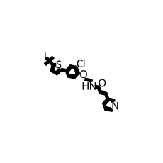 CC(C)(I)c1ccc(-c2ccc(OCCNC(=O)/C=C/c3cccnc3)c(Cl)c2)s1